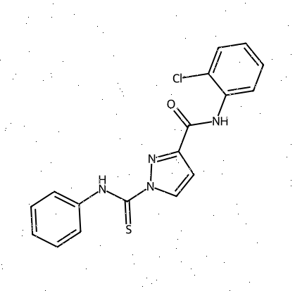 O=C(Nc1ccccc1Cl)c1ccn(C(=S)Nc2ccccc2)n1